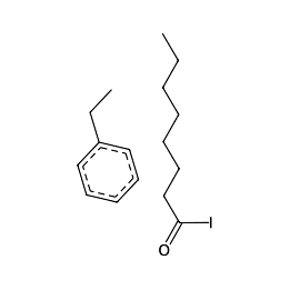 CCCCCCCC(=O)I.CCc1ccccc1